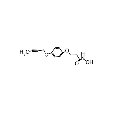 CC#CCOc1ccc(OCCC(=O)NO)cc1